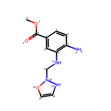 COC(=O)c1ccc(N)c(NCN2NC=CO2)c1